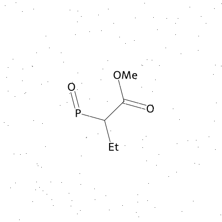 CCC(P=O)C(=O)OC